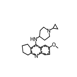 COc1ccc2nc3c(c(NC4CCN(C5CC5)CC4)c2c1)CCCC3